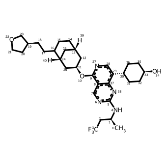 C[C@@H](CC(F)(F)F)Nc1ncc2c(O[C@@H]3C[C@H]4CCC(CC[C@H]5CCOC5)[C@H](C4)C3)ncc([C@H]3CC[C@H](O)CC3)c2n1